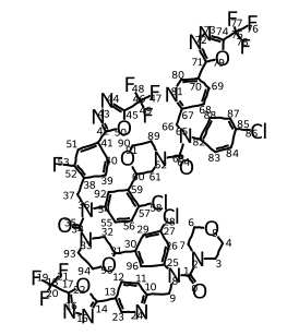 O=C(N1CCOCC1)N(Cc1ccc(-c2nnc(C(F)(F)F)o2)cn1)c1cc(Cl)cc(C2CN(C(=O)N(Cc3ccc(-c4nnc(C(F)(F)F)o4)cc3F)c3ccc(Cl)c(C4CN(C(=O)N(Cc5ccc(-c6nnc(C(F)(F)F)o6)cn5)c5ccc(Cl)cc5)CCO4)c3)CCO2)c1